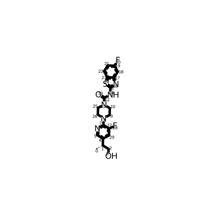 C[C@@H](CO)c1cnc(N2CCN(C(=O)Nc3nc4cc(F)ccc4s3)CC2)c(F)c1